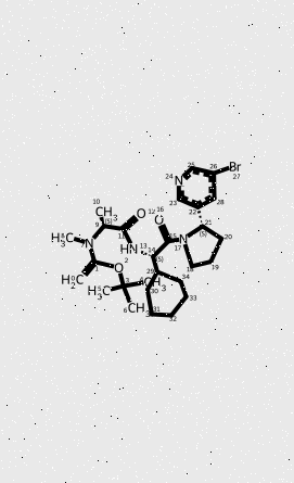 C=C(OC(C)(C)C)N(C)[C@@H](C)C(=O)N[C@H](C(=O)N1CCC[C@H]1c1cncc(Br)c1)C1CCCCC1